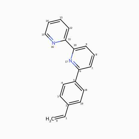 C=Cc1ccc(-c2cccc(-c3ccccn3)n2)cc1